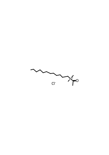 CCCCCCCCCCCC[N+](C)(C)C(C)=O.[Cl-]